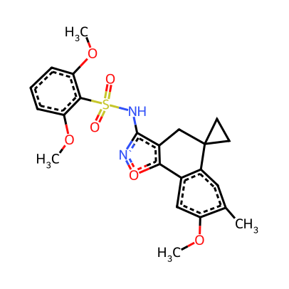 COc1cc2c(cc1C)C1(CC1)Cc1c(NS(=O)(=O)c3c(OC)cccc3OC)noc1-2